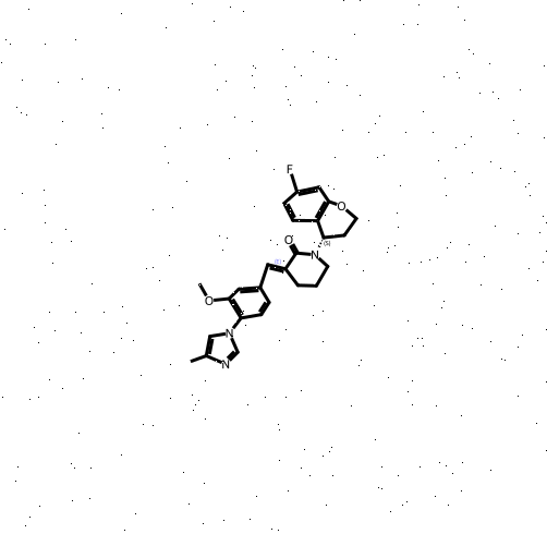 COc1cc(/C=C2\CCCN([C@H]3CCOc4cc(F)ccc43)C2=O)ccc1-n1cnc(C)c1